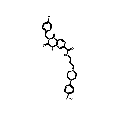 COc1ccc(N2CCN(CCCNC(=O)c3ccc4c(=O)n(Cc5ccc(Cl)cc5)c(=S)[nH]c4c3)CC2)cc1